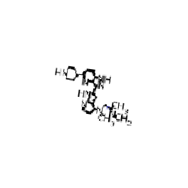 C=N/C(C)=C\N(C)c1ccnc2[nH]c(-c3n[nH]c4ccc(C5CCNCC5)nc34)cc12